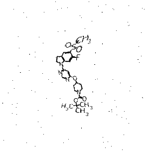 CC(C)(C)OC(=O)N1CCC(Oc2cc(N3CCc4cc(S(C)(=O)=O)c(F)cc43)ncn2)CC1